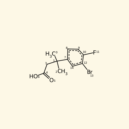 CC(C)(CC(=O)O)c1ccc(F)c(Br)c1